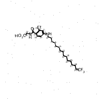 CCc1cc(NCCCCCCCCCCCCCCCC(F)(F)F)ccc1C(=O)NCC(=O)O